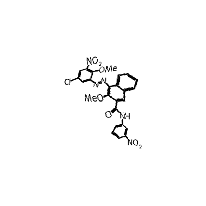 COc1c(N=Nc2c(OC)c(C(=O)Nc3cccc([N+](=O)[O-])c3)cc3ccccc23)cc(Cl)cc1[N+](=O)[O-]